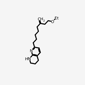 C=C(CCCCCc1ccc2c(n1)NCCC2)CCOCC